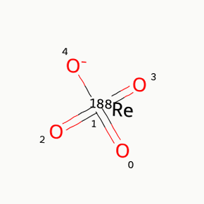 [O]=[188Re](=[O])(=[O])[O-]